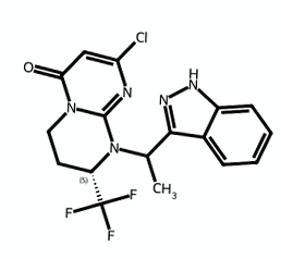 CC(c1n[nH]c2ccccc12)N1c2nc(Cl)cc(=O)n2CC[C@H]1C(F)(F)F